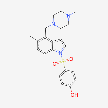 Cc1ccc2c(ccn2S(=O)(=O)c2ccc(O)cc2)c1CN1CCN(C)CC1